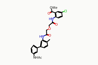 COC(=O)c1cc(Cl)ccc1NC(=O)COCC(=O)Nc1cc(-c2cccc(NC(C)=O)c2)ccc1C